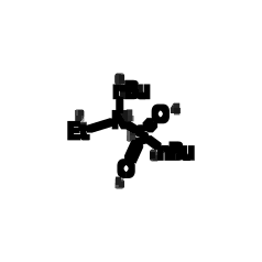 CCCCN(CC)S(=O)(=O)CCCC